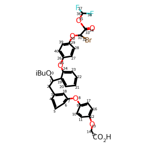 CC(C)COC(Cc1cccc(Oc2ccc(OCC(=O)O)cc2)c1)c1ccccc1Oc1ccc(OC(Br)C(=O)OC(F)F)cc1